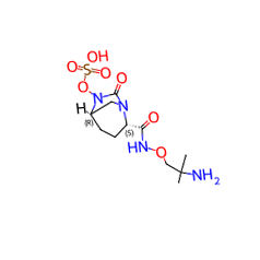 CC(C)(N)CONC(=O)[C@@H]1CC[C@@H]2CN1C(=O)N2OS(=O)(=O)O